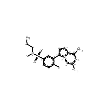 Cc1ccc(S(=O)(=O)N(C)CCC#N)cc1-c1cnc2c(N)nc(C(F)(F)F)nn12